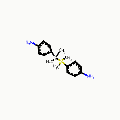 C[Si](C)(c1ccc(N)cc1)S(C)(C)c1ccc(N)cc1